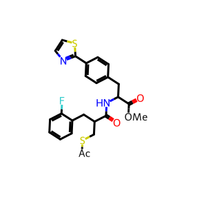 COC(=O)C(Cc1ccc(-c2nccs2)cc1)NC(=O)C(CSC(C)=O)Cc1ccccc1F